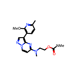 CNC(=O)OCCN(C)c1ccn2ncc(-c3ccc(C)nc3OC)c2n1